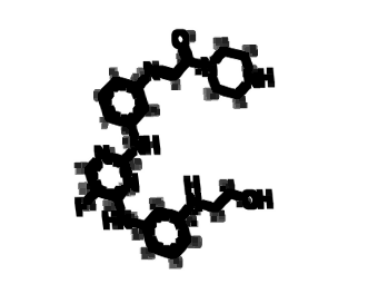 O=C(C=Nc1cccc(Nc2ncc(F)c(Nc3cccc(NCCO)c3)n2)c1)N1CCNCC1